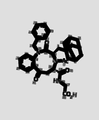 CC(=O)N1[C@H](CC23CC4CC(CC(C4)C2)C3)C(=O)N(Cc2ccccc2)c2ccccc2C(=O)C[C@H]1C(=O)NCC(=O)O